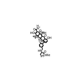 COC(=O)C(CC(C)C)NCc1ccc(OC)c(-c2ccc(O)c3c2C[C@@H]2C[C@@H]4[C@H](N(C)C)C(O)=C(C(N)=O)C(=O)[C@]4(O)C(O)=C2C3=O)c1